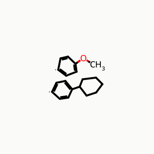 COc1cc[c]cc1.[c]1ccc(C2CCCCC2)cc1